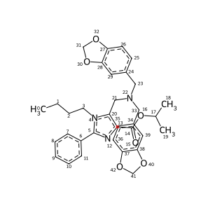 CCCCn1c(-c2ccccc2)nc(C(=O)OC(C)C)c1CN(Cc1ccc2c(c1)OCO2)Cc1ccc2c(c1)OCO2